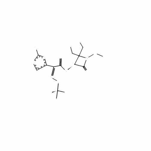 C[C@](Cl)(O/N=C(\C(=O)N[C@@H]1C(=O)N(OS(=O)(=O)O)C1(CF)CF)c1csc(N)n1)C(=O)O